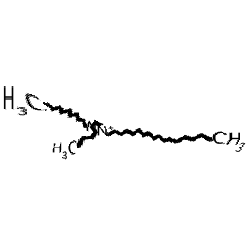 CCCCCCCCCCCCCCCCCC[n+]1ccn(CCCCCCCCCCC)c1CCCC